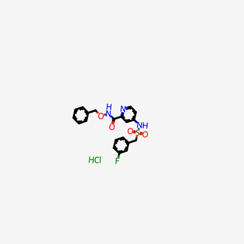 Cl.O=C(NOCc1ccccc1)c1cc(NS(=O)(=O)Cc2cccc(F)c2)ccn1